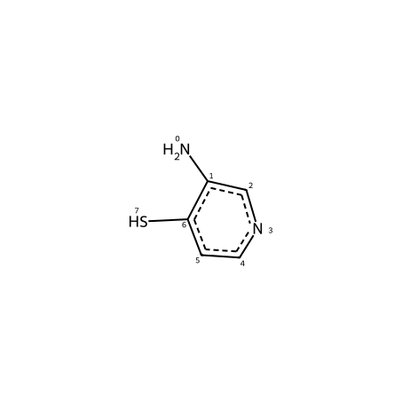 Nc1cnccc1S